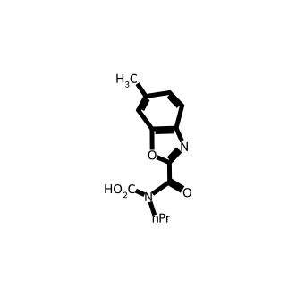 CCCN(C(=O)O)C(=O)c1nc2ccc(C)cc2o1